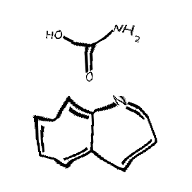 NC(=O)O.c1ccc2ncccc2c1